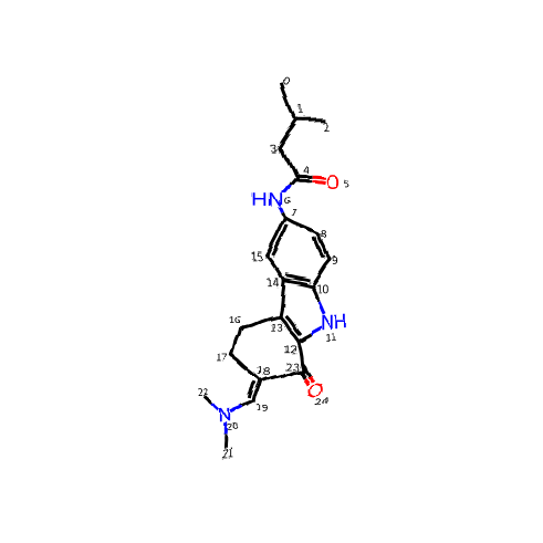 CC(C)CC(=O)Nc1ccc2[nH]c3c(c2c1)CCC(=CN(C)C)C3=O